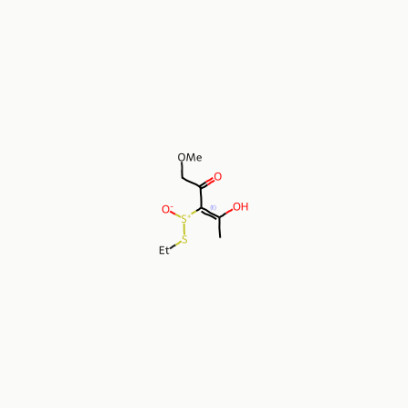 CCS[S+]([O-])/C(C(=O)COC)=C(\C)O